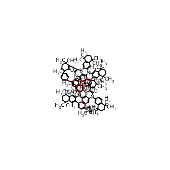 Cc1cc2c3c(c1)N(c1ccc4c(c1)C(C)(C)CCC4(C)C)c1oc4c(c1B3c1cc3c(cc1N2c1cc2c(cc1-c1ccc([Si](C)(C)C)cc1)C(C)(C)CCC2(C)C)C(C)(C)CCC3(C)c1cccc(-c2cc3c(cc2N2c5cc6c(cc5B5c7c2cc(C)cc7N2c7cc8c(cc7-c7ccc(cc7)C7(C)CCC(C)(C)c9c7oc2c95)C(C)(C)CCC8(C)C)C(C)(C)CCC6(C)C)C(C)(C)CCC3(C)C)c1)C(C)(C)CCC4(C)C